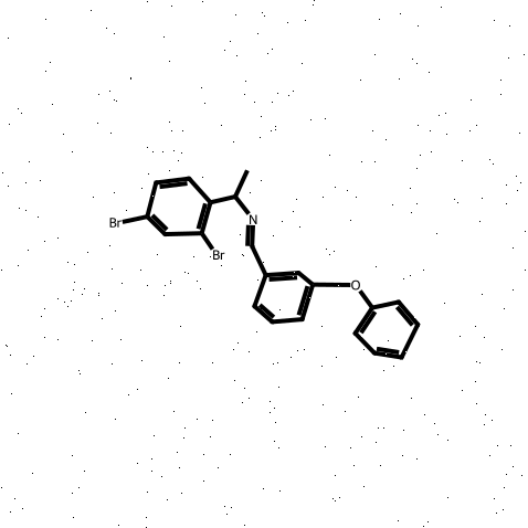 CC(N=Cc1cccc(Oc2ccccc2)c1)c1ccc(Br)cc1Br